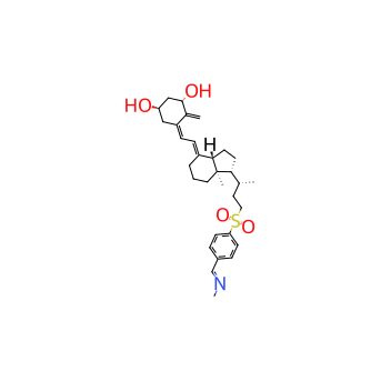 C=C1/C(=C\C=C2/CCC[C@]3(C)[C@@H]([C@H](C)CCS(=O)(=O)c4ccc(/C=N/C)cc4)CC[C@@H]23)C[C@@H](O)C[C@@H]1O